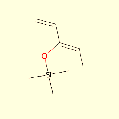 C=CC(=CC)O[Si](C)(C)C